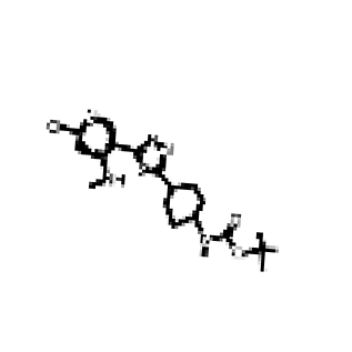 CNc1cc(Cl)ncc1-c1nnc(C2CCC(N(C)C(=O)OC(C)(C)C)CC2)s1